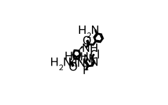 NC(=O)[C@H]1[C@@H]2C[C@@H](CNC(=O)Cc3cccc(N)c3)[C@@H](C2)[C@H]1Nc1nc(Cl)ncc1F